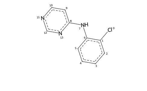 Clc1ccccc1Nc1ccncn1